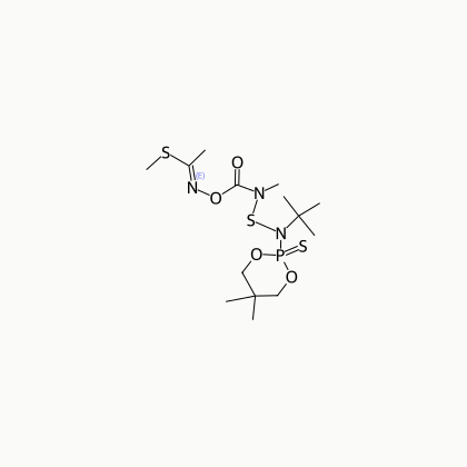 CS/C(C)=N/OC(=O)N(C)SN(C(C)(C)C)P1(=S)OCC(C)(C)CO1